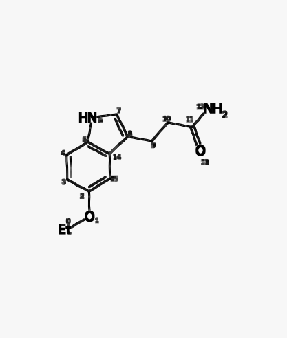 CCOc1ccc2[nH]cc(CCC(N)=O)c2c1